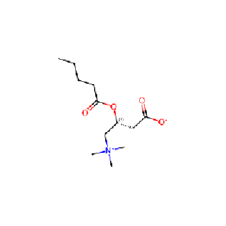 CCCCC(=O)O[C@H](CC(=O)[O-])C[N+](C)(C)C